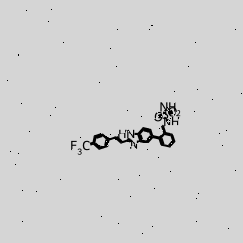 NS(=O)(=O)NCc1ccccc1-c1ccc2[nH]c(/C=C/c3ccc(C(F)(F)F)cc3)nc2c1